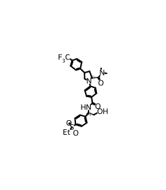 CCS(=O)(=O)c1ccc([C@H](CO)NC(=O)c2ccc(N3CC(c4ccc(C(F)(F)F)cc4)C[C@H]3C(=O)N(C)C)cc2)cc1